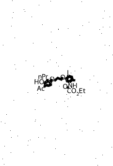 CCCc1c(OCCCOc2cc(NC(=O)C(=O)OCC)c(C)cc2I)ccc(C(C)=O)c1O